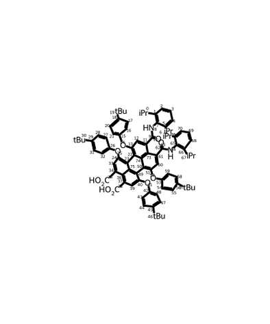 CC(C)c1cccc(C(C)C)c1NC(=O)c1cc(Oc2ccc(C(C)(C)C)cc2)c2c3c(Oc4ccc(C(C)(C)C)cc4)cc(C(=O)O)c4c(C(=O)O)cc(Oc5ccc(C(C)(C)C)cc5)c(c5c(Oc6ccc(C(C)(C)C)cc6)cc(C(=O)Nc6c(C(C)C)cccc6C(C)C)c1c25)c43